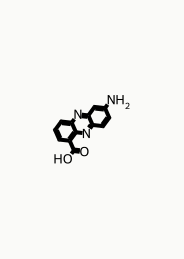 Nc1ccc2nc3c(C(=O)O)cccc3nc2c1